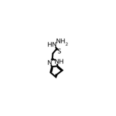 NNC(=S)Cc1nc2ccccc2[nH]1